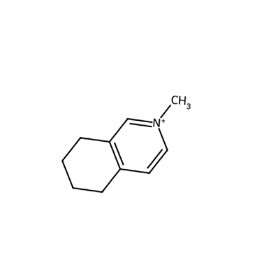 C[n+]1ccc2c(c1)CCCC2